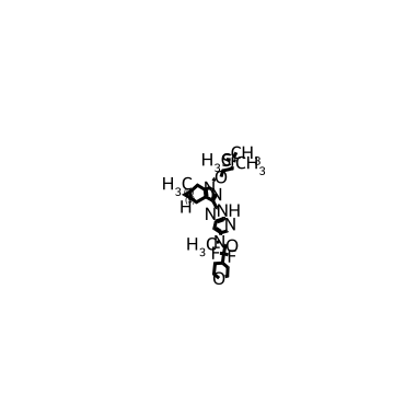 CN(C(=O)C(F)(F)C1CCOCC1)c1cnc2[nH]c(-c3nn(COCC[Si](C)(C)C)c4c3C[C@@H]3C[C@]3(C)C4)nc2c1